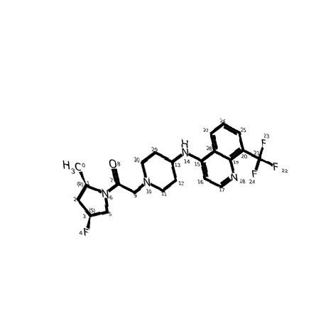 C[C@@H]1C[C@H](F)CN1C(=O)CN1CCC(Nc2ccnc3c(C(F)(F)F)cccc23)CC1